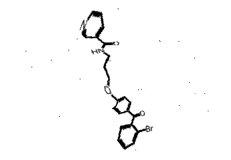 O=C(NCCCOc1ccc(C(=O)c2ccccc2Br)cc1)c1cccnc1